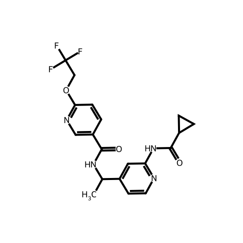 CC(NC(=O)c1ccc(OCC(F)(F)F)nc1)c1ccnc(NC(=O)C2CC2)c1